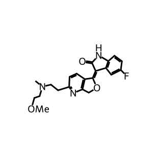 COCCN(C)CCc1ccc2c(n1)CO/C2=C1/C(=O)Nc2ccc(F)cc21